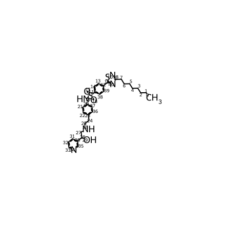 CCCCCCCCc1nsc(-c2ccc(S(=O)(=O)Nc3ccc(CCNCC(O)c4cccnc4)cc3)cc2)n1